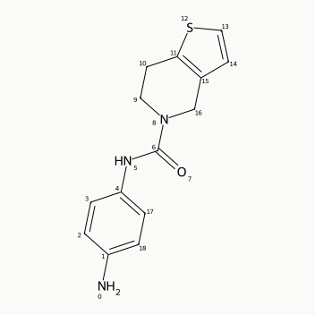 Nc1ccc(NC(=O)N2CCc3sccc3C2)cc1